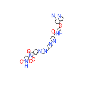 N#Cc1ccc(O[C@H]2C[C@@H](NC(=O)c3ccc(N4CCC(CN5CCN(c6ccc7c(c6)C(=O)N(C6CCC(=O)NC6=O)C7=O)CC5)CC4)nc3)C2)c2cccnc12